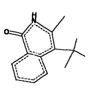 Cc1[nH]c(=O)c2ccccc2c1C(C)(C)C